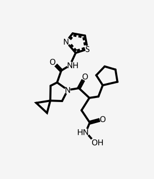 O=C(CC(CC1CCCC1)C(=O)N1CC2(CC2)CC1C(=O)Nc1nccs1)NO